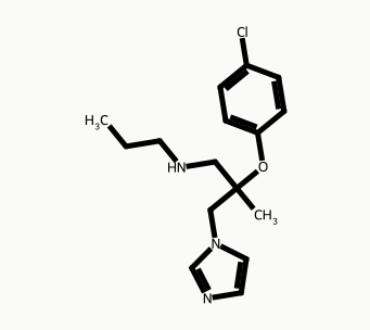 CCCNCC(C)(Cn1ccnc1)Oc1ccc(Cl)cc1